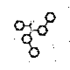 O=C(c1ccccc1)N(c1cccc(-c2ccccc2)c1)c1cccc(-c2ccccc2)c1